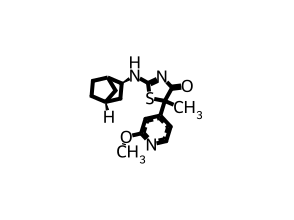 COc1cc(C2(C)SC(N[C@H]3C[C@@H]4CCC3C4)=NC2=O)ccn1